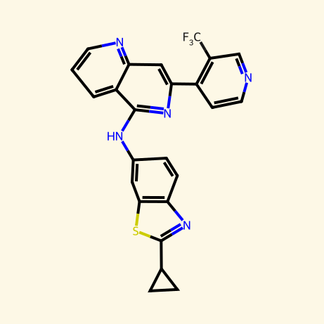 FC(F)(F)c1cnccc1-c1cc2ncccc2c(Nc2ccc3nc(C4CC4)sc3c2)n1